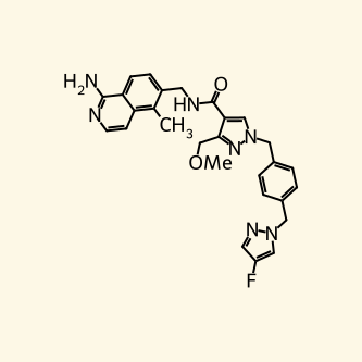 COCc1nn(Cc2ccc(Cn3cc(F)cn3)cc2)cc1C(=O)NCc1ccc2c(N)nccc2c1C